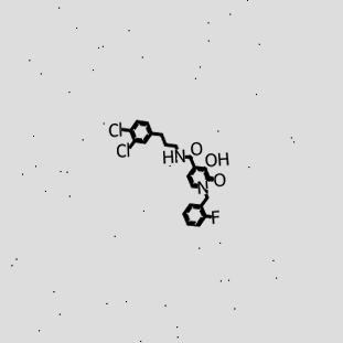 O=C(NCCCc1ccc(Cl)c(Cl)c1)c1ccn(Cc2ccccc2F)c(=O)c1O